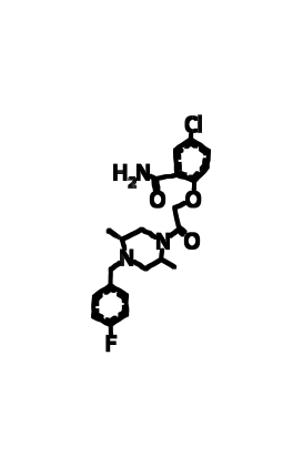 CC1CN(Cc2ccc(F)cc2)[C@@H](C)CN1C(=O)COc1ccc(Cl)cc1C(N)=O